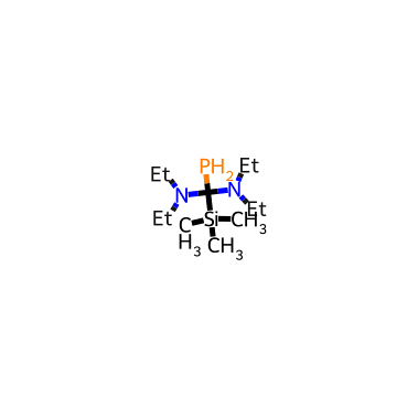 CCN(CC)C(P)(N(CC)CC)[Si](C)(C)C